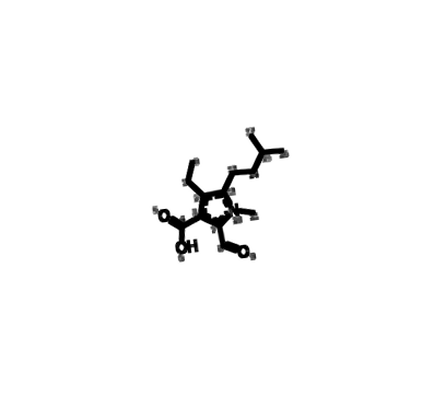 CCc1c(C(=O)O)c(C=O)n(C)c1CCC(C)C